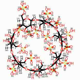 O=S(=O)(O)OC[C@H]1O[C@@H]2O[C@H]3[C@H](OS(=O)(=O)O)[C@@H](OS(=O)(=O)O)[C@@H](O[C@H]4[C@H](OS(=O)(=O)O)[C@@H](OS(=O)(=O)O)[C@@H](O[C@H]5[C@H](OS(=O)(=O)O)[C@@H](OS(=O)(=O)O)[C@@H](O[C@H]6[C@H](OS(=O)(=O)O)[C@@H](OS(=O)(=O)O)[C@@H](O[C@H]7[C@H](O)[C@@H](O)[C@@H](O[C@H]8[C@H](OS(=O)(=O)O)[C@@H](O)[C@@H](O[C@H]1[C@H](O)[C@H]2O)O[C@@H]8COS(=O)(=O)O)O[C@@H]7CO)O[C@@H]6COS(=O)(=O)O)O[C@@H]5COS(=O)(=O)O)O[C@@H]4COS(=O)(=O)O)O[C@@H]3COS(=O)(=O)O